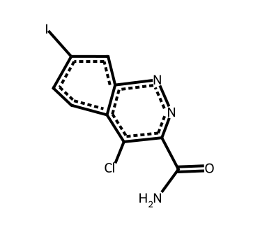 NC(=O)c1nnc2cc(I)ccc2c1Cl